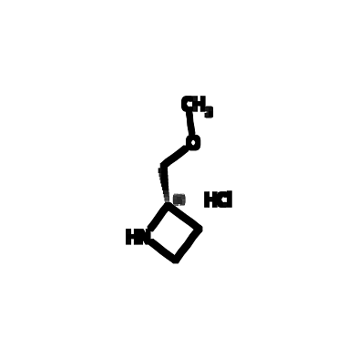 COC[C@@H]1CCN1.Cl